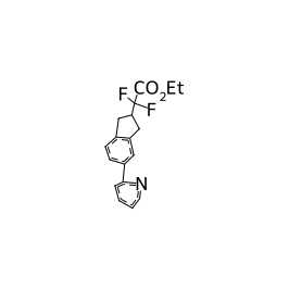 CCOC(=O)C(F)(F)C1Cc2ccc(-c3ccccn3)cc2C1